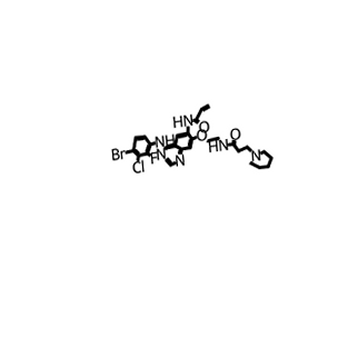 C=CC(=O)Nc1cc2c(Nc3ccc(Br)c(Cl)c3F)ncnc2cc1OCCNC(=O)CCN1CCCCC1